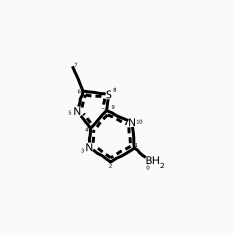 Bc1cnc2nc(C)sc2n1